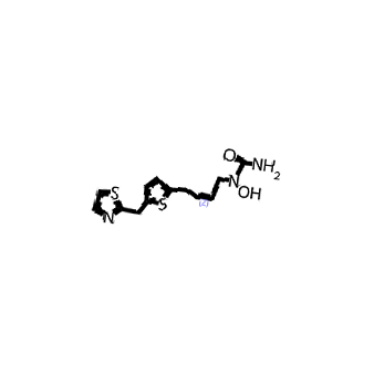 NC(=O)N(O)C/C=C\Cc1ccc(Cc2nccs2)s1